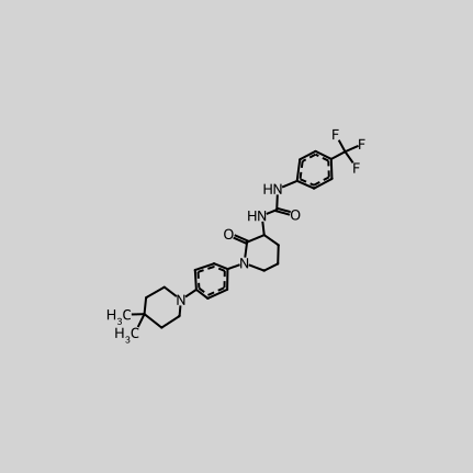 CC1(C)CCN(c2ccc(N3CCCC(NC(=O)Nc4ccc(C(F)(F)F)cc4)C3=O)cc2)CC1